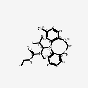 CCOC(=O)N(C)C(C(C)C)N1c2ccccc2OCOc2ccc(Cl)cc21